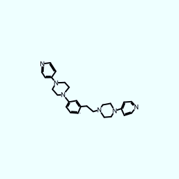 [c]1ccc(N2CCN(c3ccncc3)CC2)cc1CCN1CCN(c2ccncc2)CC1